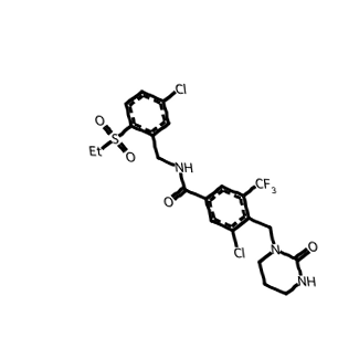 CCS(=O)(=O)c1ccc(Cl)cc1CNC(=O)c1cc(Cl)c(CN2CCCNC2=O)c(C(F)(F)F)c1